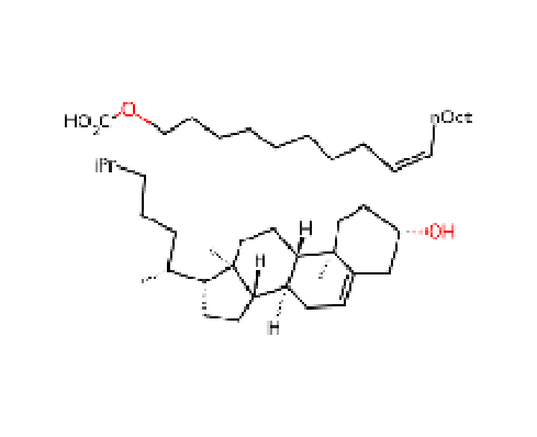 CC(C)CCC[C@@H](C)[C@H]1CC[C@H]2[C@@H]3CC=C4C[C@@H](O)CC[C@]4(C)[C@H]3CC[C@]12C.CCCCCCCC/C=C\CCCCCCCCOC(=O)O